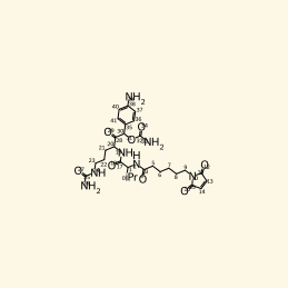 CC(C)C(NC(=O)CCCCCN1C(=O)C=CC1=O)C(=O)NC(CCCNC(N)=O)C(=O)C(OC(N)=O)c1ccc(N)cc1